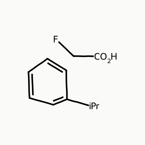 CC(C)c1ccccc1.O=C(O)CF